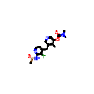 Cc1c(Cc2ccnc(N[S+](C)[O-])c2F)cncc1OC(=O)N(C)C